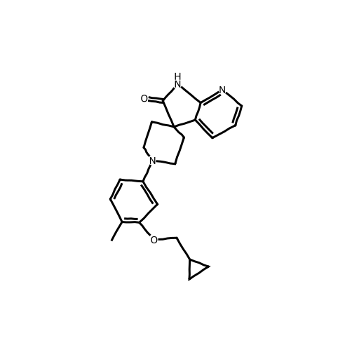 Cc1ccc(N2CCC3(CC2)C(=O)Nc2ncccc23)cc1OCC1CC1